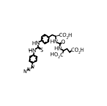 [N-]=[N+]=Nc1ccc(NC(=S)Nc2ccc(C[C@H](NC(=O)NC(CCC(=O)O)C(=O)O)C(=O)O)cc2)cc1